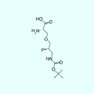 CC(C)(C)OC(=O)NC[C@@H](F)COC[C@H](N)C(=O)O